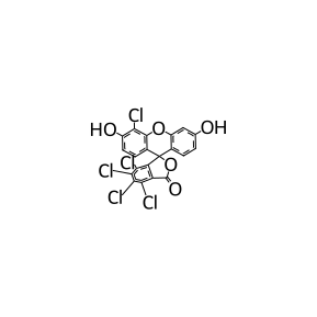 O=C1OC2(c3ccc(O)cc3Oc3c2ccc(O)c3Cl)c2c(Cl)c(Cl)c(Cl)c(Cl)c21